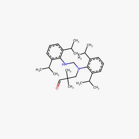 CC(C)c1cccc(C(C)C)c1NCN(CC(C)(C)C=O)c1c(C(C)C)cccc1C(C)C